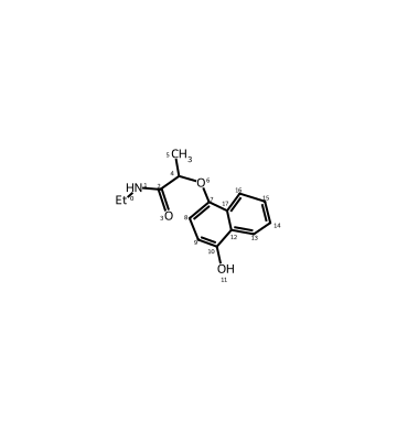 CCNC(=O)C(C)Oc1ccc(O)c2ccccc12